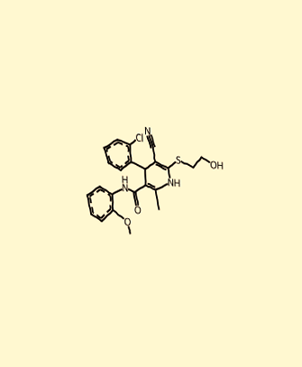 COc1ccccc1NC(=O)C1=C(C)NC(SCCO)=C(C#N)C1c1ccccc1Cl